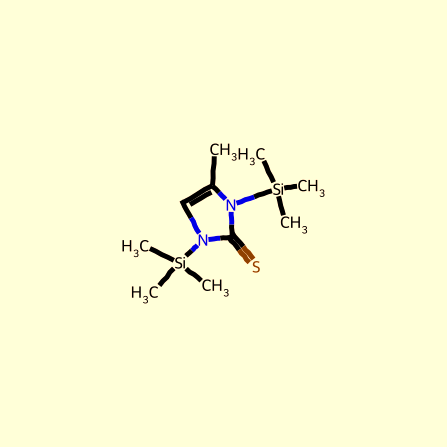 Cc1cn([Si](C)(C)C)c(=S)n1[Si](C)(C)C